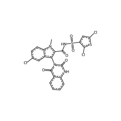 Cn1c(C(=O)NS(=O)(=O)c2cc(Cl)sc2Cl)c(-n2c(=O)[nH]c3ccccc3c2=O)c2cc(Cl)ccc21